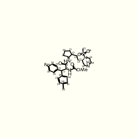 COC(=O)N[C@H](C(=O)NC1CCCC1CC[C@H]1CNCCN1S(C)(=O)=O)C(c1ccc(C)cc1)c1ccc(F)cc1